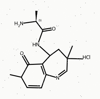 CC1C=CC2=C(C1=O)C(NC(=O)[C@H](C)N)CC(C)(C)C=N2.Cl